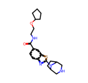 O=C(NCCOC1CCCC1)c1ccc2nc(N3C4CCC3CNC4)sc2c1